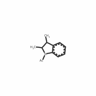 CC(=O)N1c2ccccc2C(C)C1C